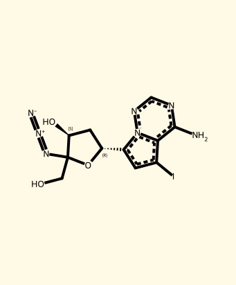 [N-]=[N+]=NC1(CO)O[C@@H](c2cc(I)c3c(N)ncnn23)C[C@@H]1O